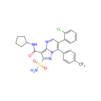 NS(=O)(=O)c1nn2c(-c3ccc(C(F)(F)F)cc3)c(-c3ccccc3Cl)cnc2c1C(=O)NC1CCCC1